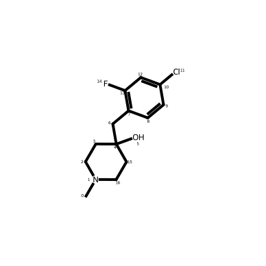 CN1CCC(O)(Cc2ccc(Cl)cc2F)CC1